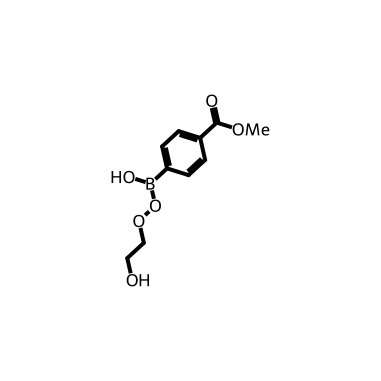 COC(=O)c1ccc(B(O)OOCCO)cc1